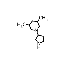 CC1CC(C)CN(C2CCNC2)C1